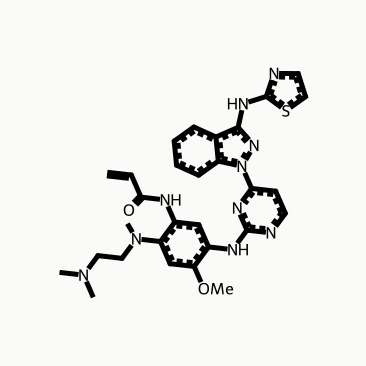 C=CC(=O)Nc1cc(Nc2nccc(-n3nc(Nc4nccs4)c4ccccc43)n2)c(OC)cc1N(C)CCN(C)C